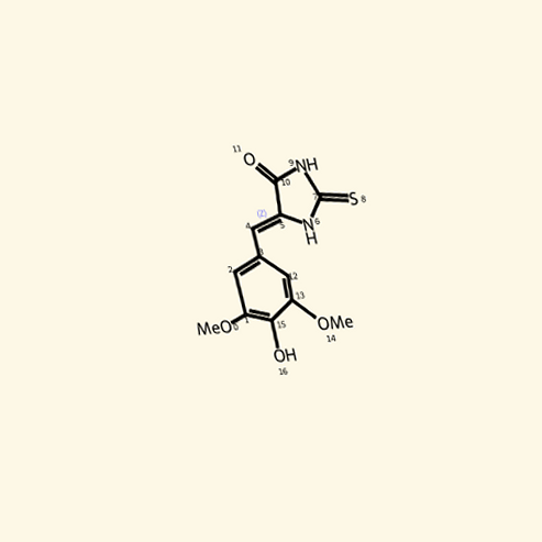 COc1cc(/C=C2\NC(=S)NC2=O)cc(OC)c1O